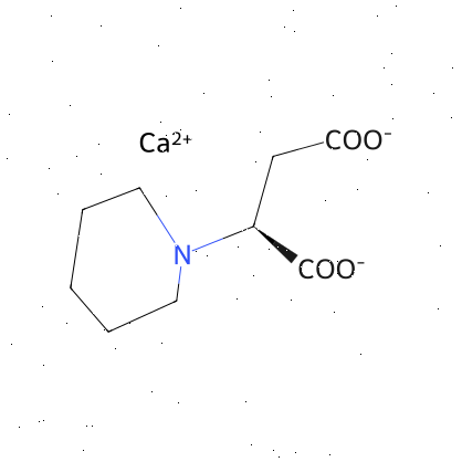 O=C([O-])C[C@@H](C(=O)[O-])N1CCCCC1.[Ca+2]